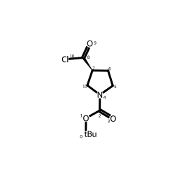 CC(C)(C)OC(=O)N1CC[C@H](C(=O)Cl)C1